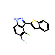 Nc1ccc2[nH]nc(-c3cc4ccccc4s3)c2c1F